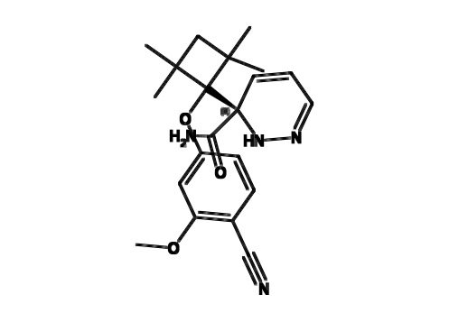 COc1cc(OC2([C@@]3(C(N)=O)C=CC=NN3)C(C)(C)CC2(C)C)ccc1C#N